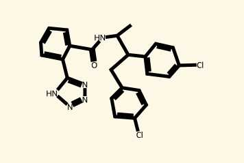 CC(NC(=O)c1ccccc1-c1nnn[nH]1)C(Cc1ccc(Cl)cc1)c1ccc(Cl)cc1